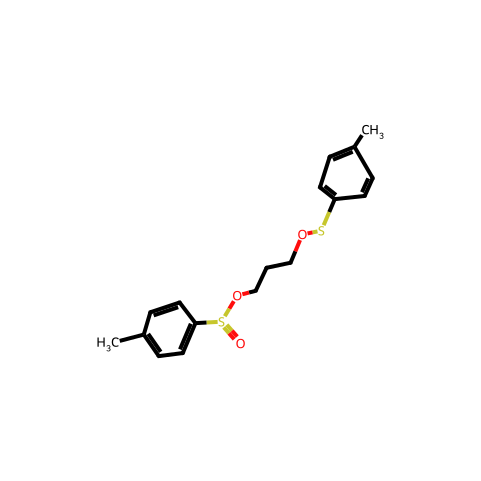 Cc1ccc(SOCCCOS(=O)c2ccc(C)cc2)cc1